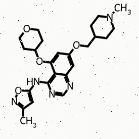 Cc1cc(Nc2ncnc3cc(OCC4CCN(C)CC4)cc(OC4CCOCC4)c23)on1